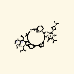 C=C/C(=C(\N=C/C)[C@H](C)OC)c1c2c3cc(ccc3n1CC(F)F)-c1csc(n1)C[C@H](NC(=O)[C@H](C(C)C)N(C)C(=O)N1CC(N(C)C)C1)C(=O)N1CCC[C@@H](COCC(C)(C)C2)N1